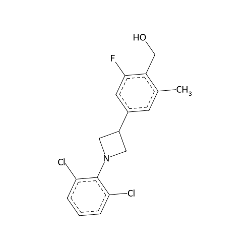 Cc1cc(C2CN(c3c(Cl)cccc3Cl)C2)cc(F)c1CO